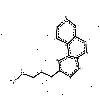 COCCCc1cnc2cnc3ccccc3c2c1